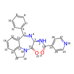 O=C(N[C@@H]1N=C(c2ccccc2)c2cccc3c2N(CC3)C1=O)c1ccncc1